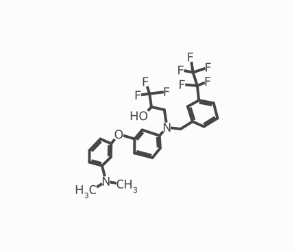 CN(C)c1cccc(Oc2cccc(N(Cc3cccc(C(F)(F)C(F)(F)F)c3)CC(O)C(F)(F)F)c2)c1